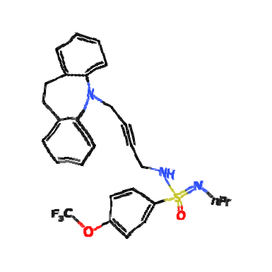 CCCN=S(=O)(NCC#CCN1c2ccccc2CCc2ccccc21)c1ccc(OC(F)(F)F)cc1